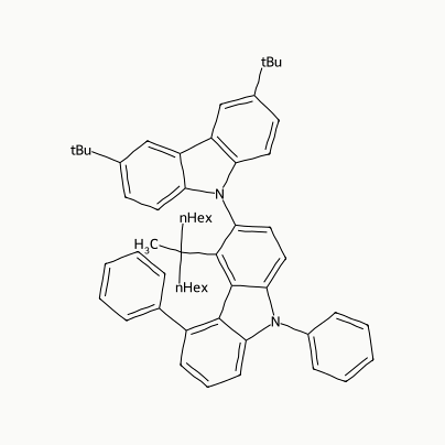 CCCCCCC(C)(CCCCCC)c1c(-n2c3ccc(C(C)(C)C)cc3c3cc(C(C)(C)C)ccc32)ccc2c1c1c(-c3ccccc3)cccc1n2-c1ccccc1